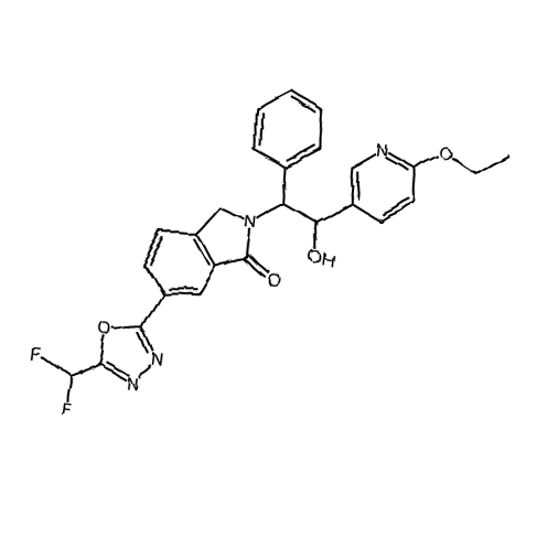 CCOc1ccc(C(O)C(c2ccccc2)N2Cc3ccc(-c4nnc(C(F)F)o4)cc3C2=O)cn1